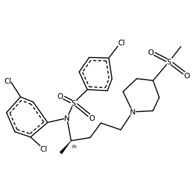 C[C@H](CCCN1CCC(S(C)(=O)=O)CC1)N(c1cc(Cl)ccc1Cl)S(=O)(=O)c1ccc(Cl)cc1